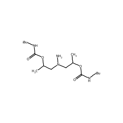 CCC(C)NC(=O)OC(C)CN(N)CC(C)OC(=O)NC(C)CC